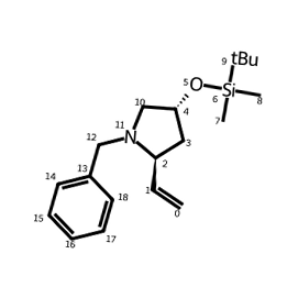 C=C[C@@H]1C[C@@H](O[Si](C)(C)C(C)(C)C)CN1Cc1ccccc1